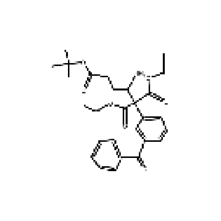 CCOC(=O)C(C(=O)OCC)(c1cccc(C(=O)c2ccccc2)c1)C(N)CCC(=O)OC(C)(C)C